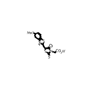 COc1ccc2c(c1)N(C)/C(=C1\SC(=S)N(CC(=O)O)C1=O)S2